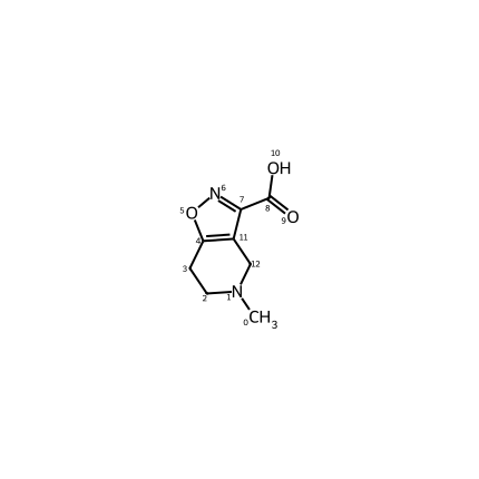 CN1CCc2onc(C(=O)O)c2C1